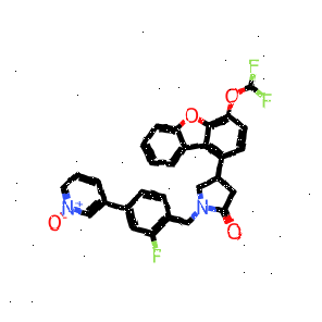 O=C1CC(c2ccc(OC(F)F)c3oc4ccccc4c23)CN1Cc1ccc(-c2ccc[n+]([O-])c2)cc1F